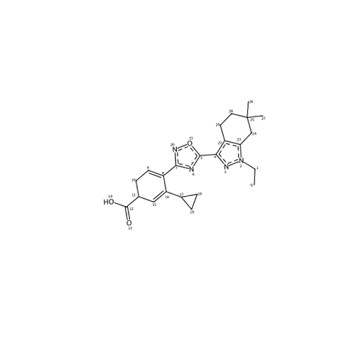 CCn1nc(-c2nc(C3=CCC(C(=O)O)C=C3C3CC3)no2)c2c1CC(C)(C)CC2